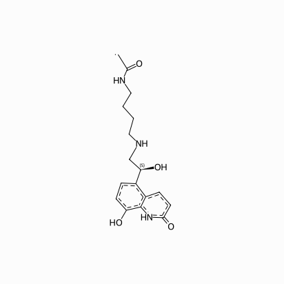 [CH2]C(=O)NCCCCNC[C@@H](O)c1ccc(O)c2[nH]c(=O)ccc12